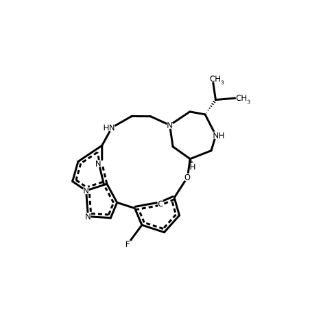 CC(C)[C@H]1CN2CCNc3ccn4ncc(c4n3)-c3cc(ccc3F)O[C@H](CN1)C2